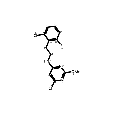 COc1nc(Cl)cc(NCCc2c(F)cccc2Cl)n1